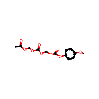 COc1ccc(OC(=O)OCOC(=O)OCOC(C)=O)cc1